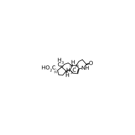 C[C@]12CC[C@H]3C(CC=C4NC(=O)CC[C@@]43C)[C@@H]1CC[C@@H]2C(=O)O